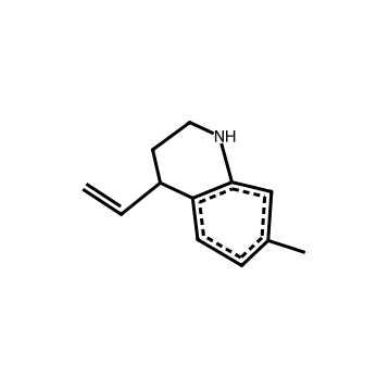 C=CC1CCNc2cc(C)ccc21